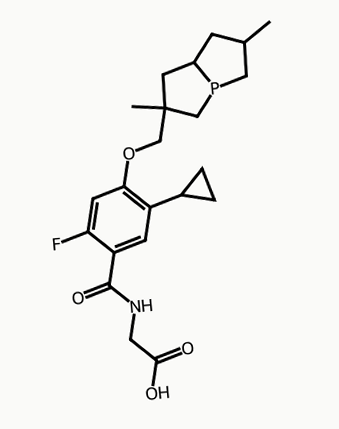 CC1CC2CC(C)(COc3cc(F)c(C(=O)NCC(=O)O)cc3C3CC3)CP2C1